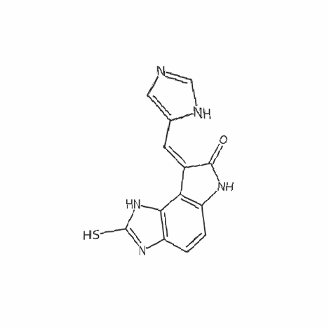 O=C1Nc2ccc3nc(S)[nH]c3c2/C1=C/c1cnc[nH]1